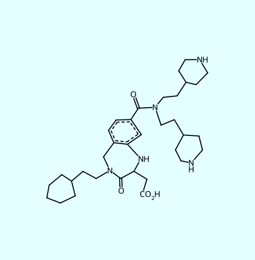 O=C(O)CC1Nc2cc(C(=O)N(CCC3CCNCC3)CCC3CCNCC3)ccc2CN(CCC2CCCCC2)C1=O